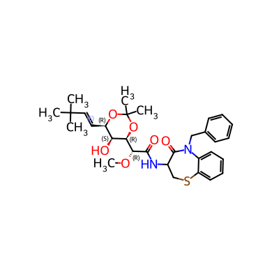 CO[C@@H](C(=O)NC1CSc2ccccc2N(Cc2ccccc2)C1=O)[C@@H]1OC(C)(C)O[C@H](/C=C/C(C)(C)C)[C@@H]1O